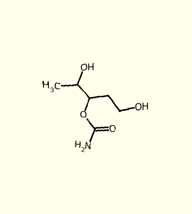 CC(O)C(CCO)OC(N)=O